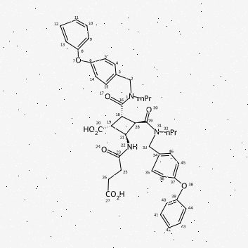 CCCN(Cc1ccc(Oc2ccccc2)cc1)C(=O)[C@H]1[C@@H](C(=O)O)[C@H](NC(=O)CCC(=O)O)[C@@H]1C(=O)N(CCC)Cc1ccc(Oc2ccccc2)cc1